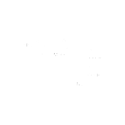 C=C(C)C(=O)O.C=C(C)C(=O)O.C=C(C)C(=O)OC.C=CC#N.C=CC(=O)OCCCC